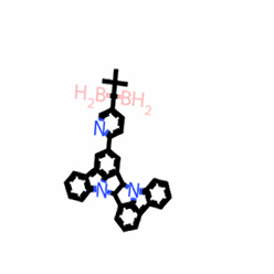 BC(B)(c1ccc(-c2cc3c4c(c2)c2ccccc2n4C2c4cccc5c6ccccc6n(c45)C32)nc1)C(C)(C)C